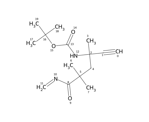 C#CC(C)(CC(C)(C)C(=O)N=C)NC(=O)OC(C)(C)C